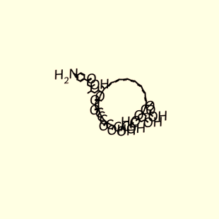 COC1/C=C/C=C/C=C/C=C/C=C/C=C/C=C/C(C)C(C(C)CC(C)C(O)CC(=O)c2ccc(N)cc2)OC(=O)CC(=O)CCCC(=O)CC(O)CC(O)CC(O)CC2(O)CC(O)[C@@H](C(=O)O)C(C1)O2